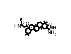 CCOC(=N)CC(=O)[C@]12CCC(C)(C)CC1C1=CCC3[C@@]4(C)Cc5c(n[nH]c5N)C(C)(C)C4CC[C@@]3(C)[C@]1(C)CC2